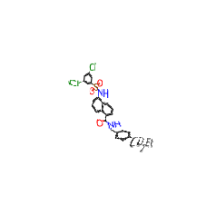 CCOC(=O)c1ccc(CNC(=O)c2cccc3c(NS(=O)(=O)c4cc(Cl)cc(Cl)c4)cccc23)cc1